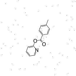 Cc1ccc(C(=O)Oc2ccccn2)cc1